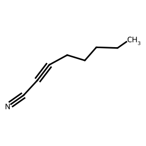 CCCCCC#CC#N